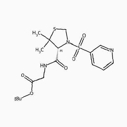 CC(C)(C)OC(=O)CNC(=O)[C@H]1N(S(=O)(=O)c2cccnc2)CSC1(C)C